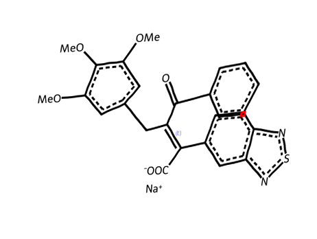 COc1cc(C/C(C(=O)c2ccccc2)=C(\C(=O)[O-])c2ccc3nsnc3c2)cc(OC)c1OC.[Na+]